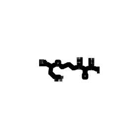 CCC(CC(C)C)OCCCNC(=O)NI